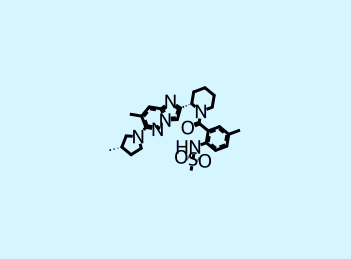 Cc1ccc(NS(C)(=O)=O)c(C(=O)N2CCCC[C@H]2c2cn3nc(N4CC[C@H](C)C4)c(C)cc3n2)c1